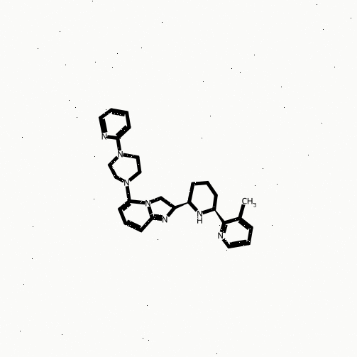 Cc1cccnc1[C@@H]1CCC[C@H](C2CN3C(N4CCN(c5ccccn5)CC4)=CC=CC3=N2)N1